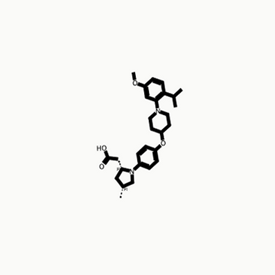 COc1ccc(C(C)C)c(N2CCC(Oc3ccc(N4C[C@H](C)C[C@@H]4CC(=O)O)cc3)CC2)c1